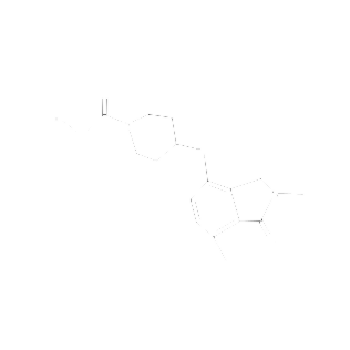 Cc1ccc(OC2CCN(C(=O)OC(C)(C)C)CC2)c2c1C(=O)N(C)C2